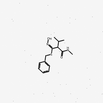 CNC(=O)C(C(=NO)SCc1ccccc1)C(C)C